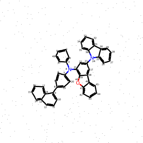 c1ccc(N(c2ccc(-c3cccc4ccccc34)cc2)c2cc(-n3c4ccccc4c4ccccc43)cc3c2oc2ccccc23)cc1